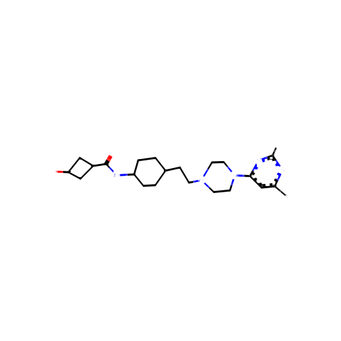 CC(C)c1cc(N2CCN(CCC3CCC(NC(=O)C4CC(O)C4)CC3)CC2)nc(C(C)(C)C)n1